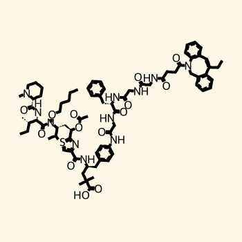 CCCCCON(C(=O)[C@@H](NC(=O)[C@H]1CCCCN1C)[C@@H](C)CC)[C@H](C[C@@H](OC(C)=O)c1nc(C(=O)N[C@@H](Cc2ccc(NC(=O)CNC(=O)[C@H](Cc3ccccc3)NC(=O)CNC(=O)CNC(=O)CCC(=O)N3Cc4ccccc4/C(CC)=C\c4ccccc43)cc2)CC(C)(C)C(=O)O)cs1)C(C)C